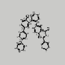 O=c1nc(-c2ccccc2)nc2ccc(-c3cccc4oc5ccc(-c6ccc(-c7ccccc7)cc6)cc5c34)cn12